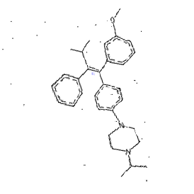 COc1cccc(/C(=C(/c2ccccc2)C(C)C)c2ccc(N3CCN(C(C)C)CC3)cc2)c1